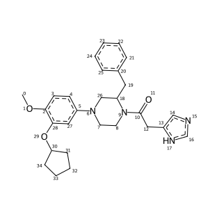 COc1ccc(N2CCN(C(=O)Cc3cnc[nH]3)C(Cc3ccccc3)C2)cc1OC1CCCC1